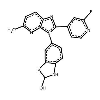 Cc1ccc2nc(-c3ccnc(F)c3)n(-c3ccc4c(c3)SC(O)N4)c2n1